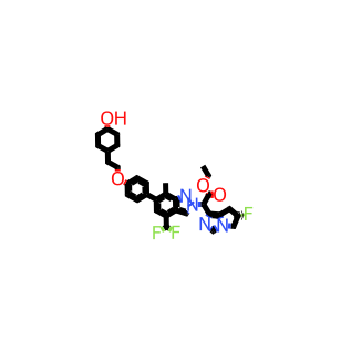 CCOC(=O)C(c1ncn2c1C[C@@H](F)C2)n1cc2c(C(F)F)cc(-c3ccc(OCCC4CCC(O)CC4)cc3)c(C)c2n1